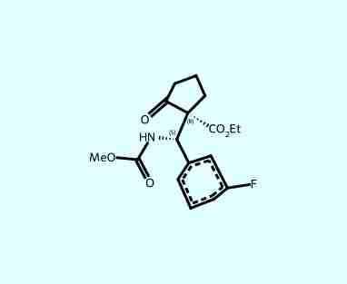 CCOC(=O)[C@@]1([C@@H](NC(=O)OC)c2cccc(F)c2)CCCC1=O